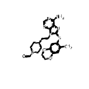 Cc1cc2c(cc1Sc1nc3c(N)ncnc3n1CCC1CCN(C=O)CC1)OCCO2